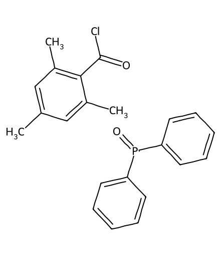 Cc1cc(C)c(C(=O)Cl)c(C)c1.O=[P](c1ccccc1)c1ccccc1